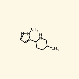 CC1CCC(c2ccnn2C)NC1